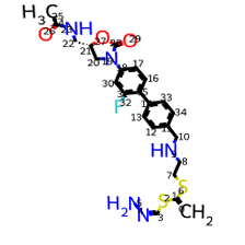 C=C(S/C=N\N)SCCNCc1ccc(-c2ccc(N3C[C@H](CNC(C)=O)OC3=O)cc2F)cc1